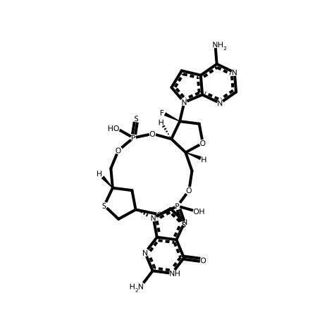 Nc1nc2c(ncn2[C@@]23CS[C@H](COP(O)(=S)O[C@@H]4[C@@H](COP(O)(=S)O2)OC[C@@]4(F)n2ccc4c(N)ncnc42)C3)c(=O)[nH]1